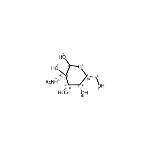 CC(=O)N[C@]1(O)C(O)O[C@H](CO)[C@H](O)[C@@H]1O